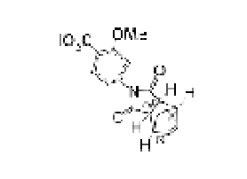 COc1cc(N2C(=O)[C@@H]3[C@H](C2=O)[C@@H]2C=C[C@H]3CC2)ccc1C(=O)O